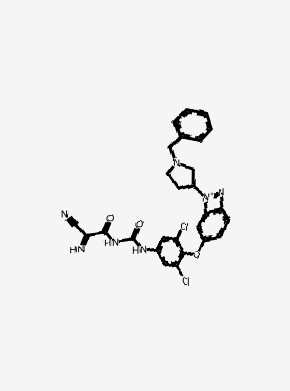 N#CC(=N)C(=O)NC(=O)Nc1cc(Cl)c(Oc2ccc3c(c2)[N+](C2CCN(Cc4ccccc4)C2)=N3)c(Cl)c1